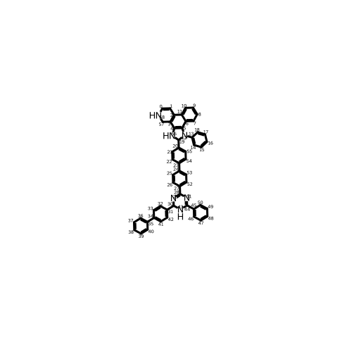 C1=Cc2c(c3c(c4ccccc24)N(c2ccccc2)C(c2ccc(-c4ccc(C5=NC(c6ccc(-c7ccccc7)cc6)NC(c6ccccc6)=N5)cc4)cc2)N3)CN1